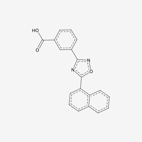 O=C(O)c1cccc(-c2noc(-c3cccc4ccccc34)n2)c1